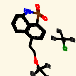 CC[Si](CC)(CC)OCCc1ccc2c3c(cccc13)NS2(=O)=O.CC[Si](Cl)(CC)CC